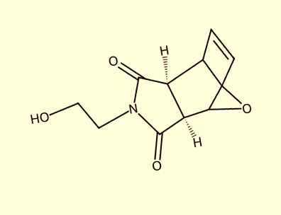 O=C1[C@@H]2C3OC34C=CC4[C@@H]2C(=O)N1CCO